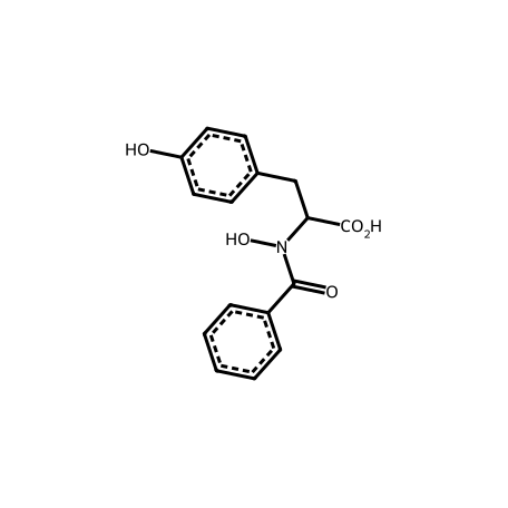 O=C(O)C(Cc1ccc(O)cc1)N(O)C(=O)c1ccccc1